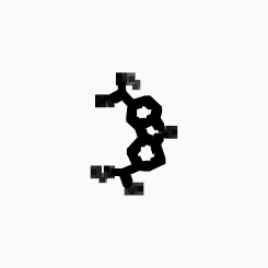 N=C(N)c1ccc2[nH]c3ccc(C(=N)N)cc3c2c1